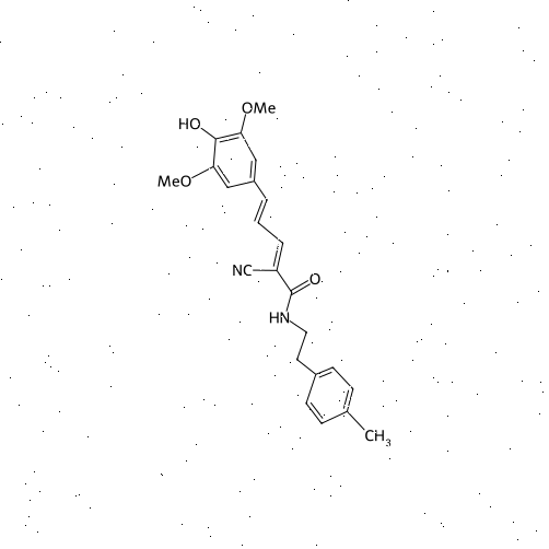 COc1cc(/C=C/C=C(\C#N)C(=O)NCCc2ccc(C)cc2)cc(OC)c1O